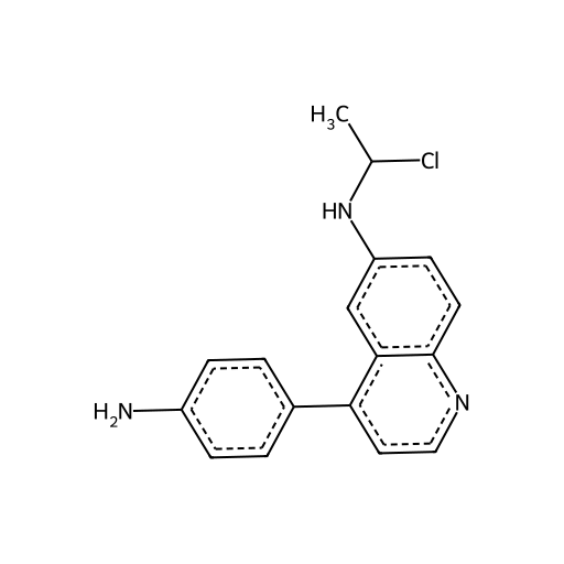 CC(Cl)Nc1ccc2nccc(-c3ccc(N)cc3)c2c1